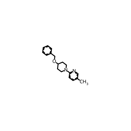 Cc1ccc(N2CCC(OCc3ccccc3)CC2)nc1